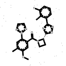 COc1cc(C(=O)N2CC[C@H]2c2nc(-c3cccc(F)c3C)no2)c(-n2nccn2)cc1C